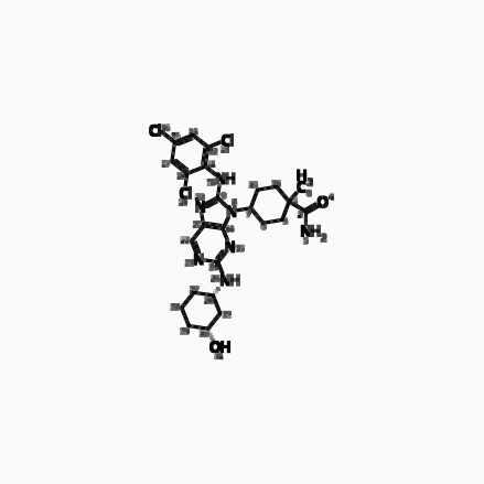 CC1(C(N)=O)CCC(n2c(Nc3c(Cl)cc(Cl)cc3Cl)nc3cnc(N[C@H]4CCC[C@@H](O)C4)nc32)CC1